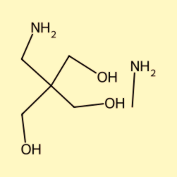 CN.NCC(CO)(CO)CO